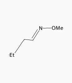 C[CH]CC=NOC